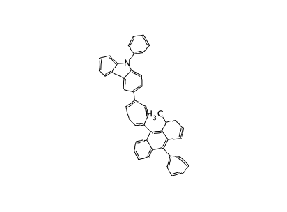 CC1CC=Cc2c1c(C1=CCC=C(c3ccc4c(c3)c3ccccc3n4-c3ccccc3)C=C1)c1ccccc1c2-c1ccccc1